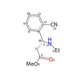 CCN[C@H](CC(=O)OC)c1ccccc1C#N